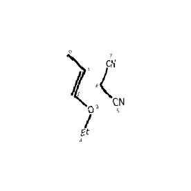 C/C=C/OCC.N#CCC#N